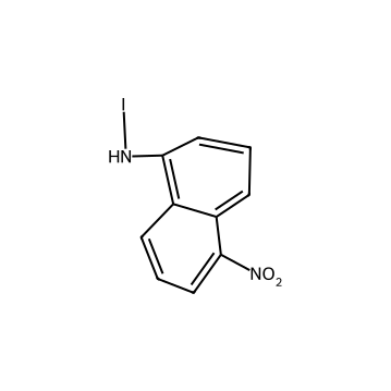 O=[N+]([O-])c1cccc2c(NI)cccc12